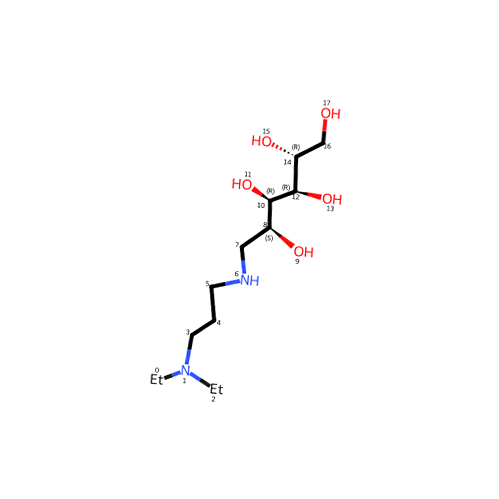 CCN(CC)CCCNC[C@H](O)[C@@H](O)[C@H](O)[C@H](O)CO